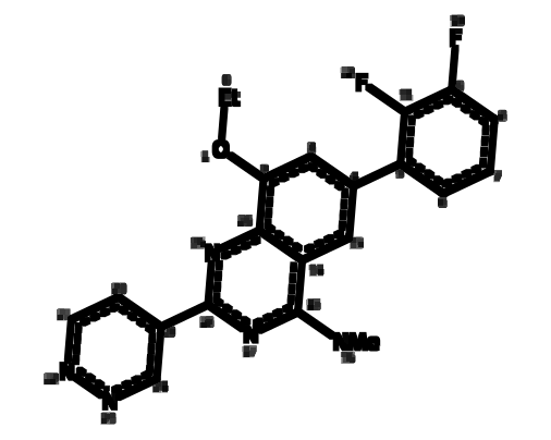 CCOc1cc(-c2cccc(F)c2F)cc2c(NC)nc(-c3ccnnc3)nc12